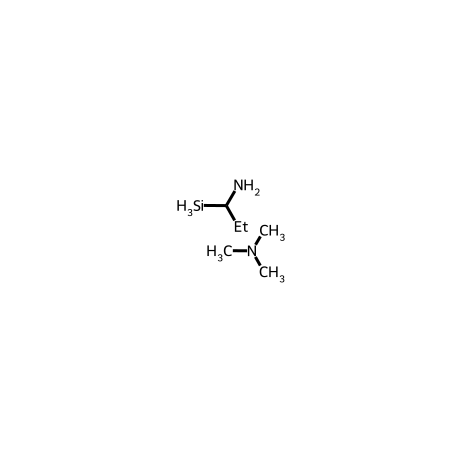 CCC(N)[SiH3].CN(C)C